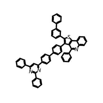 c1ccc(-c2cccc(-c3sc4c(c(-c5ccccc5)nc5ccccc54)c3-c3ccc(-c4ccc(-c5cc(-c6ccccc6)nc(-c6ccccc6)n5)cc4)cc3)c2)cc1